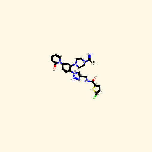 CC(=N)N1CCN(c2cc(-n3ccccc3=O)ccc2-n2cc(CNC(=O)c3ccc(Cl)s3)nn2)CC1